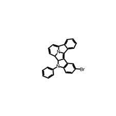 Brc1ccc2c(c1)C1=c3c4ccccc4c4n3C(C=CC=4)C1N2c1ccccc1